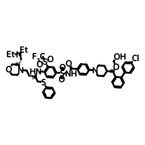 CCN(CC)C[C@H]1COCCN1CC[C@H](CSc1ccccc1)Nc1ccc(S(=O)(=O)NC(=O)c2ccc(N3CCC([C@@H](OCO)c4ccccc4-c4ccc(Cl)cc4)CC3)cc2)cc1S(=O)(=O)C(F)(F)F